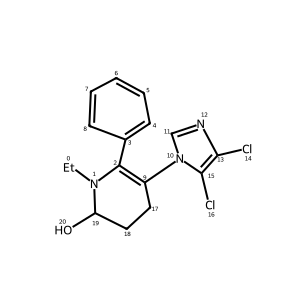 CCN1C(c2ccccc2)=C(n2cnc(Cl)c2Cl)CCC1O